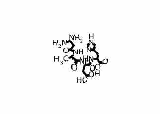 CC(NC(=O)CC(N)N)C(=O)NC(CC(=O)O)C(=O)NC(Cc1c[nH]cn1)C(=O)O